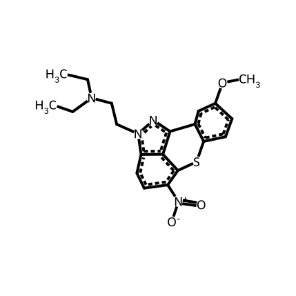 CCN(CC)CCn1nc2c3c(c([N+](=O)[O-])ccc31)Sc1ccc(OC)cc1-2